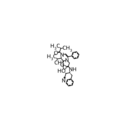 CC(C)C(=O)N1C=C(c2ccccc2)N(CC(=O)N[C@@H](Cc2ccccc2)C(O)C#N)C(=O)C1C(C)C